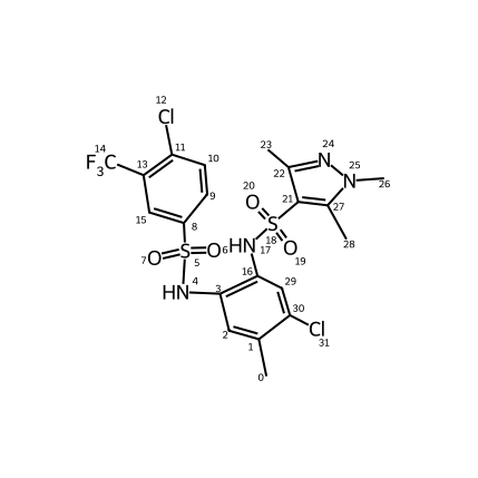 Cc1cc(NS(=O)(=O)c2ccc(Cl)c(C(F)(F)F)c2)c(NS(=O)(=O)c2c(C)nn(C)c2C)cc1Cl